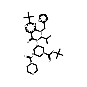 CC(C)CN(C(=O)c1cnc(C(C)(C)C)nc1NCc1ccco1)[C@H]1C[C@@H](C(=O)N2CCOCC2)CN(C(=O)OC(C)(C)C)C1